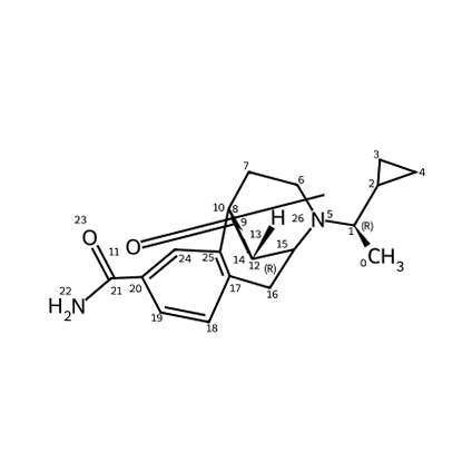 C[C@H](C1CC1)N1CCC23CC(=O)CC[C@H]2C1Cc1ccc(C(N)=O)cc13